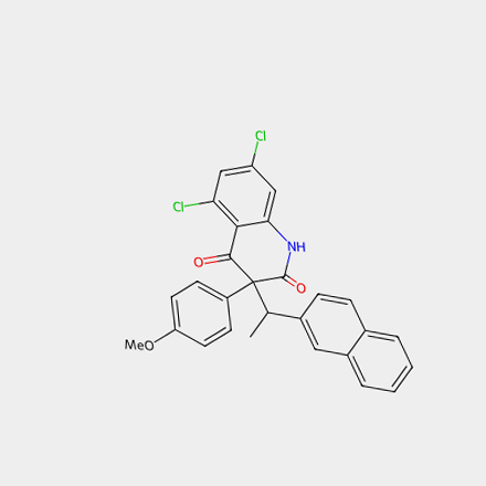 COc1ccc(C2(C(C)c3ccc4ccccc4c3)C(=O)Nc3cc(Cl)cc(Cl)c3C2=O)cc1